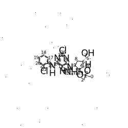 CC1(C)O[C@@H]2[C@@H](CO)C[C@@H](n3nnc4c(Nc5ccccc5Cl)nc(Cl)nc43)[C@@H]2O1